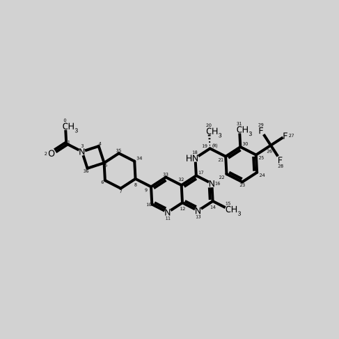 CC(=O)N1CC2(CCC(c3cnc4nc(C)nc(N[C@H](C)c5cccc(C(F)(F)F)c5C)c4c3)CC2)C1